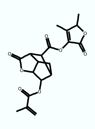 C=C(C)C(=O)OC1C2CC3C1OC(=O)C3C2C(=O)OC1=C(C)C(C)OC1=O